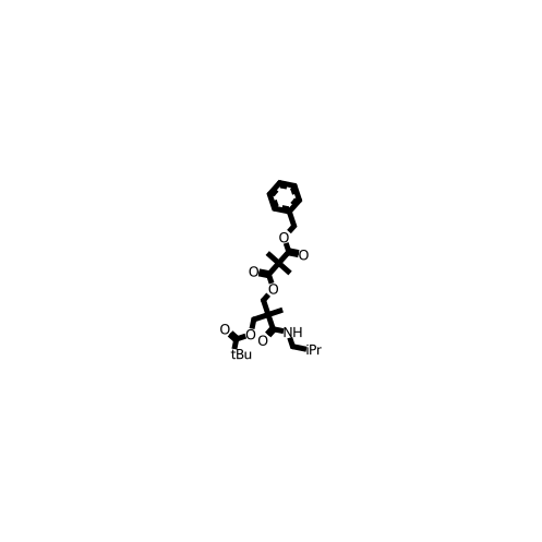 CC(C)CNC(=O)C(C)(COC(=O)C(C)(C)C)COC(=O)C(C)(C)C(=O)OCc1ccccc1